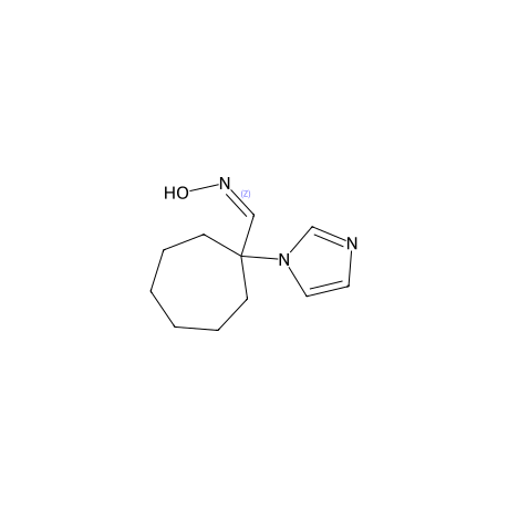 O/N=C\C1(n2ccnc2)CCCCCC1